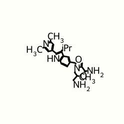 Cc1cc(-c2[nH]c3ccc(C4OC=C(C(N)=O)N4CC(C)CN)cc3c2C(C)C)cc(C)n1